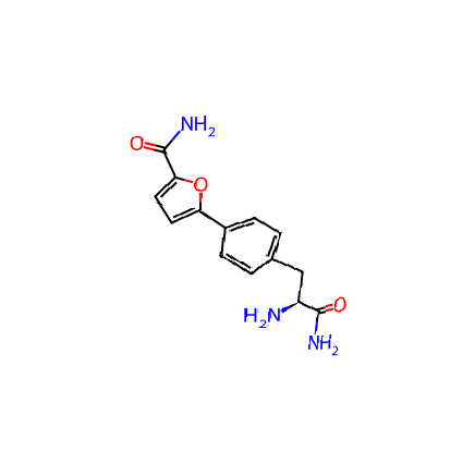 NC(=O)c1ccc(-c2ccc(C[C@H](N)C(N)=O)cc2)o1